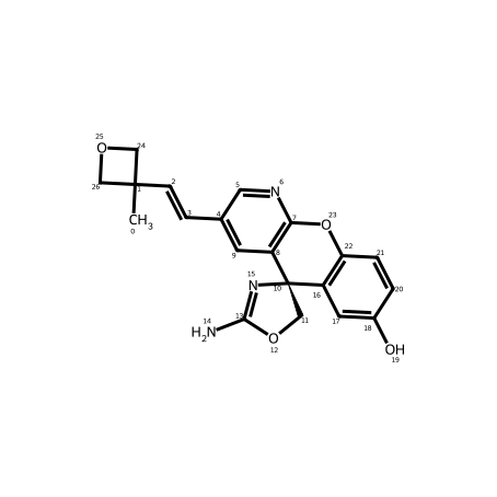 CC1(C=Cc2cnc3c(c2)[C@]2(COC(N)=N2)c2cc(O)ccc2O3)COC1